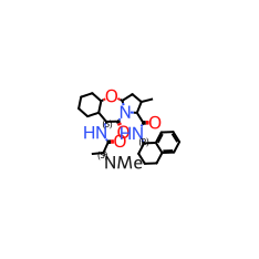 CN[C@@H](C)C(=O)N[C@@H]1C(=O)N2C(CC(C)C2C(=O)N[C@@H]2CCCc3ccccc32)OC2CCCCC21